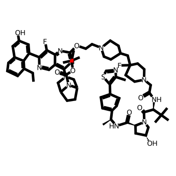 CCc1cccc2cc(O)cc(-c3ncc4c(N5CC6CCC(C5)N6C(=O)OC(C)(C)C)nc(OCCN5CCC(CC6(F)CCN(CC(=O)N[C@H](C(=O)N7C[C@H](O)C[C@H]7C(=O)N[C@@H](C)c7ccc(-c8scnc8C)cc7)C(C)(C)C)CC6)CC5)nc4c3F)c12